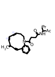 C=C1C#Cc2ccccc2N(C(=O)CCC(=O)NC(C(C)=O)C(C)C)CC/C=C\C=C/1